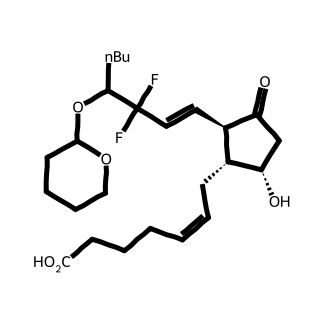 CCCCC(OC1CCCCO1)C(F)(F)/C=C/[C@H]1C(=O)C[C@H](O)[C@@H]1C/C=C\CCCC(=O)O